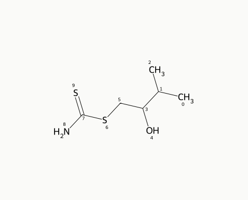 CC(C)C(O)CSC(N)=S